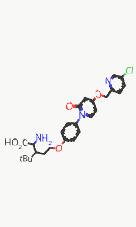 CC(C)(C)C(CCOc1ccc(-n2ccc(OCc3ccc(Cl)cn3)cc2=O)cc1)C(N)C(=O)O